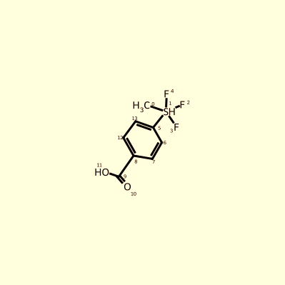 C[SH](F)(F)(F)c1ccc(C(=O)O)cc1